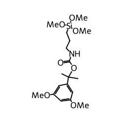 COc1cc(OC)cc(C(C)(C)OC(=O)NCCC[Si](OC)(OC)OC)c1